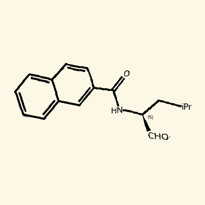 CC(C)C[C@@H]([C]=O)NC(=O)c1ccc2ccccc2c1